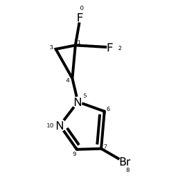 FC1(F)CC1n1cc(Br)cn1